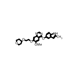 COc1cc2c(Oc3ccc4[nH]c(C)cc4c3)ncnc2cc1OCCOC1CCOCC1